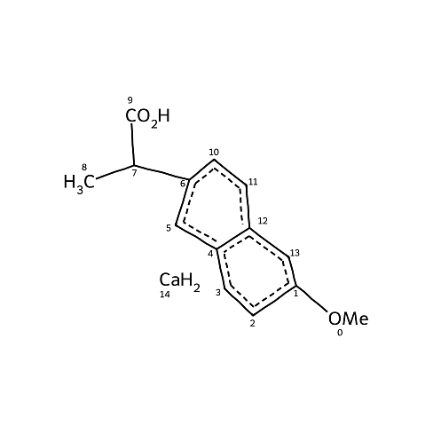 COc1ccc2cc(C(C)C(=O)O)ccc2c1.[CaH2]